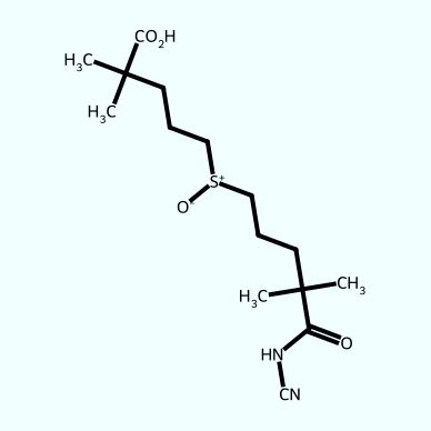 CC(C)(CCC[S+]([O-])CCCC(C)(C)C(=O)NC#N)C(=O)O